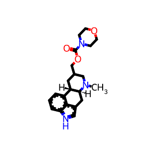 CN1CC(COC(=O)N2CCOCC2)C[C@H]2c3cccc4[nH]cc(c34)C[C@@H]21